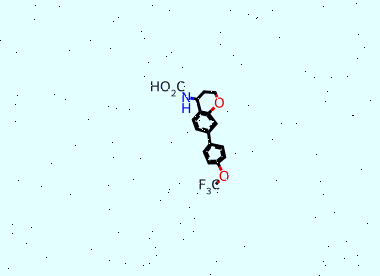 O=C(O)NC1CCOc2cc(-c3ccc(OC(F)(F)F)cc3)ccc21